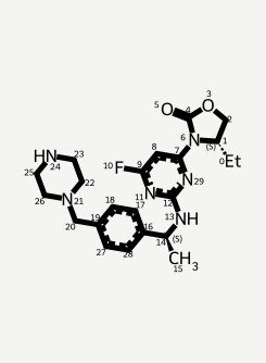 CC[C@H]1COC(=O)N1c1cc(F)nc(N[C@@H](C)c2ccc(CN3CCNCC3)cc2)n1